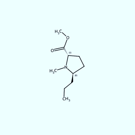 CCC[C@@H]1CC[C@@H](C(=O)OC)N1C